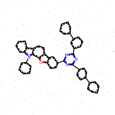 c1ccc(-c2ccc(-c3nc(-c4cccc(-c5ccccc5)c4)nc(-c4ccc5oc6c(ccc7c8ccccc8n(-c8ccccc8)c76)c5c4)n3)cc2)cc1